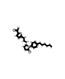 CCCCCCc1ccc(N2C(=O)CC[C@@H]2CCCc2ccc(C(C)=O)s2)cc1